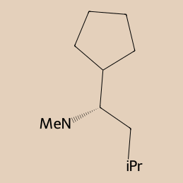 CN[C@@H](CC(C)C)C1CCCC1